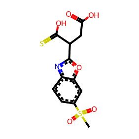 CS(=O)(=O)c1ccc2nc(C(CC(=O)O)C(O)=S)oc2c1